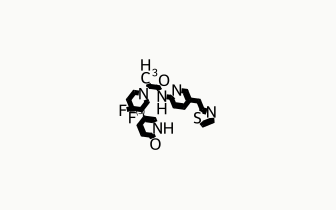 CC(C(=O)Nc1ccc(Cc2nccs2)cn1)N1CCC(F)(F)[C@@H](c2ccc(=O)[nH]c2)C1